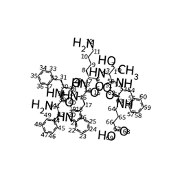 C[C@@H](O)[C@H](NC(=O)[C@H](CCCCN)NC(=O)[C@@H](Cc1c[nH]c2ccccc12)NC(=O)[C@H](Cc1ccccc1)NC(=O)[C@@H](N)Cc1ccccc1)C(=O)N[C@@H](Cc1ccccc1)C(=O)NCCCC(=O)O